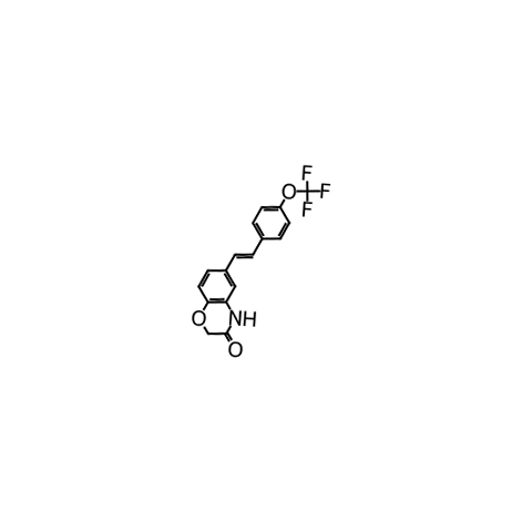 O=C1COc2ccc(C=Cc3ccc(OC(F)(F)F)cc3)cc2N1